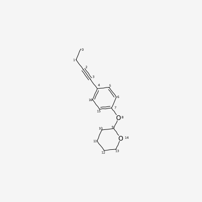 CCC#Cc1ccc(OC2CCCCO2)cc1